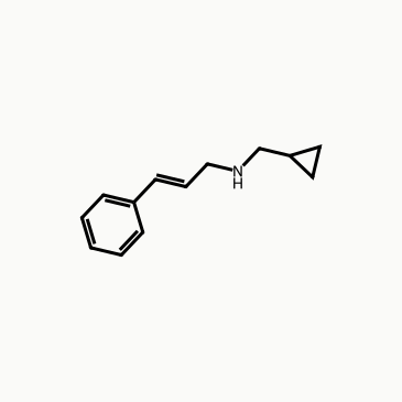 C(=C\c1ccccc1)/CNCC1CC1